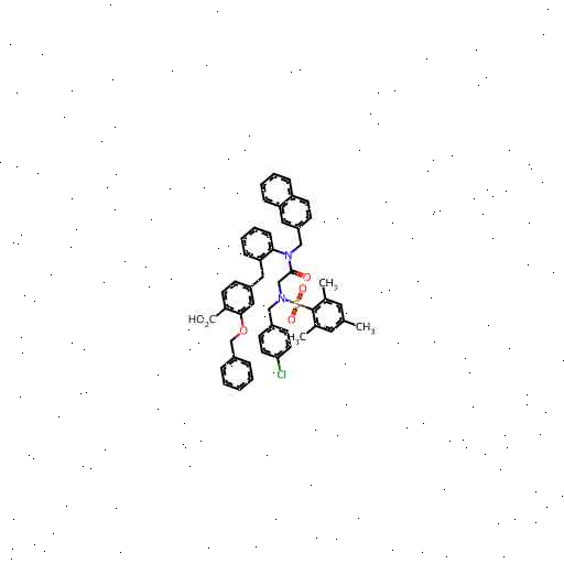 Cc1cc(C)c(S(=O)(=O)N(CC(=O)N(Cc2ccc3ccccc3c2)c2ccccc2Cc2ccc(C(=O)O)c(OCc3ccccc3)c2)Cc2ccc(Cl)cc2)c(C)c1